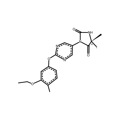 CCOc1cc(Oc2ncc(N3C(=O)N[C@](C)(I)C3=O)cn2)ccc1C